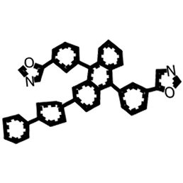 c1ccc(-c2ccc(-c3ccc4c(-c5cccc(-c6cnco6)c5)c5ccccc5c(-c5cccc(-c6cnco6)c5)c4c3)cc2)cc1